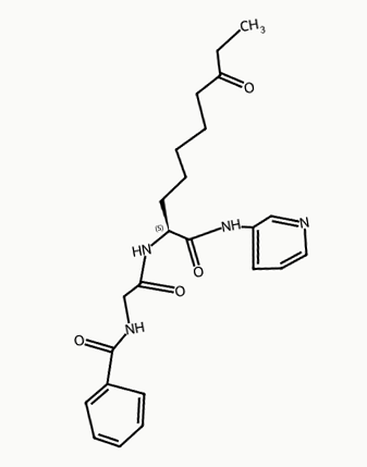 CCC(=O)CCCCC[C@H](NC(=O)CNC(=O)c1ccccc1)C(=O)Nc1cccnc1